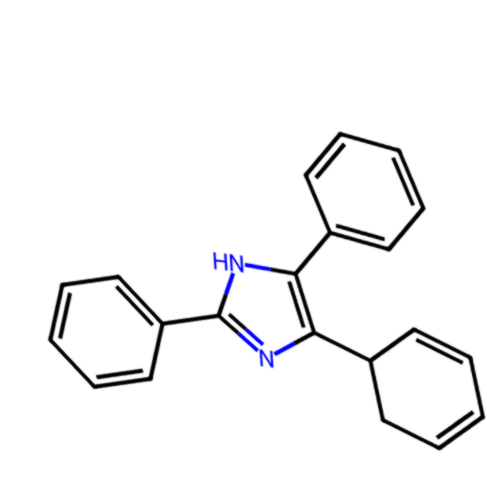 C1=CCC(c2nc(-c3ccccc3)[nH]c2-c2ccccc2)C=C1